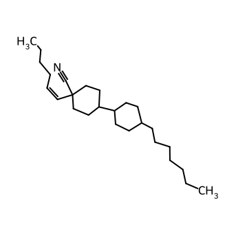 CCCC/C=C\C1(C#N)CCC(C2CCC(CCCCCCC)CC2)CC1